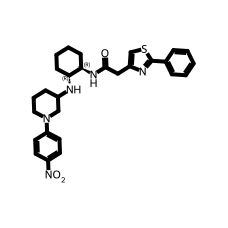 O=C(Cc1csc(-c2ccccc2)n1)N[C@@H]1CCCC[C@H]1NC1CCCN(c2ccc([N+](=O)[O-])cc2)C1